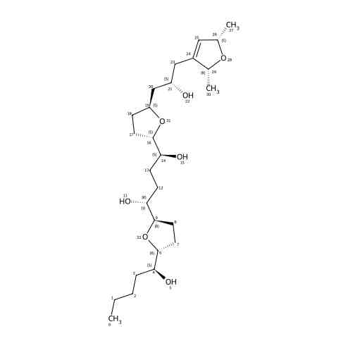 CCCC[C@H](O)[C@H]1CC[C@H]([C@H](O)CC[C@H](O)[C@@H]2CC[C@@H](C[C@@H](O)CC3=C[C@H](C)O[C@@H]3C)O2)O1